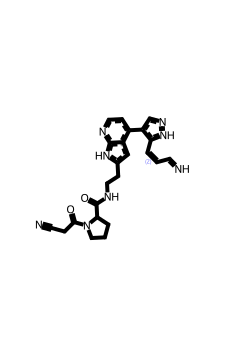 N#CCC(=O)N1CCCC1C(=O)NCCc1cc2c(-c3cn[nH]c3/C=C\C=N)ccnc2[nH]1